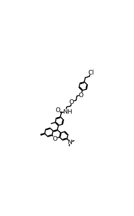 C=c1ccc2c(c1)Oc1cc(N(C)C)ccc1C=2c1ccc(C(=O)NCCOCCOc2ccc(CCCl)cc2)cc1C